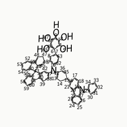 Oc1c(O)c(O)c(-c2ccc(N(C3=CCC(c4ccc5c(c4)c4ccccc4n5-c4ccccc4)C=C3)c3ccc4c(c3)C(C3=CCCC=C3)(c3ccccc3)c3ccccc3-4)cc2)c(O)c1O